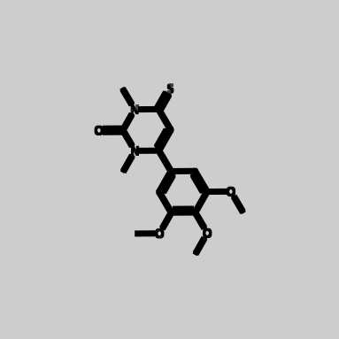 COc1cc(-c2cc(=S)n(C)c(=O)n2C)cc(OC)c1OC